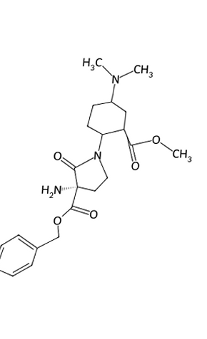 COC(=O)C1CC(N(C)C)CCC1N1CC[C@@](N)(C(=O)OCc2ccccc2)C1=O